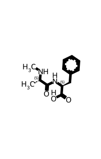 CN[C@@H](C)C(=O)N[C@@H](Cc1ccccc1)C(=O)O